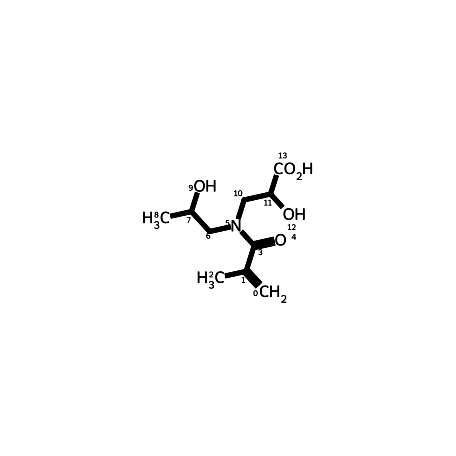 C=C(C)C(=O)N(CC(C)O)CC(O)C(=O)O